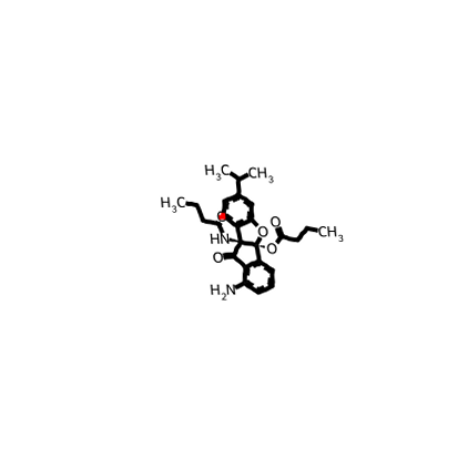 CCCC(=O)N[C@]12C(=O)c3c(N)cccc3[C@]1(OC(=O)CCC)Oc1cc(C(C)C)ccc12